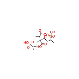 C=C(C(=O)O)C(CCC(C)S(=O)(=O)O)(CCC(C)S(=O)(=O)O)C(=O)O